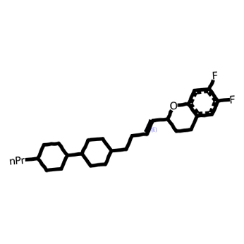 CCCC1CCC(C2CCC(CC/C=C/C3CCc4cc(F)c(F)cc4O3)CC2)CC1